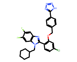 Fc1cc2nc(-c3ccc(Cl)cc3OCc3ccc(-c4nnn[nH]4)cc3)n(CC3CCCCC3)c2cc1F